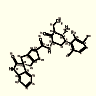 C[C@@H]1[C@H](c2c(F)ccc(F)c2F)C[C@H](NC(=O)c2cc3c(s2)C[C@@]2(C3)C(=O)Nc3ncccc32)C(=O)N1CC(F)(F)F